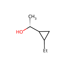 CCC1CC1[C@@H](C)O